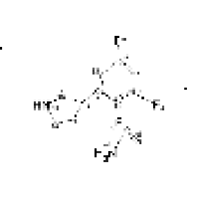 Fc1cc(F)c(F)c(C2CCNC2)c1.NC=S